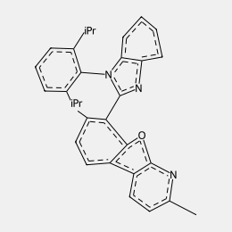 Cc1ccc2c(n1)oc1c(-c3nc4ccccc4n3-c3c(C(C)C)cccc3C(C)C)c(C)ccc12